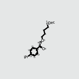 [CH2]CCCCCCCCCCCCCOOC(=O)c1ccc(C(C)C)cc1